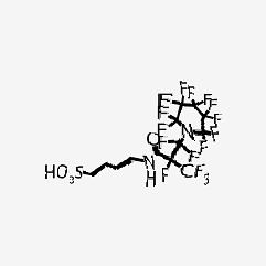 O=C(N/C=C/C=C/S(=O)(=O)O)C(F)(C(F)(F)F)C(F)(F)N1C(F)(F)C(F)(F)C(F)(F)C(F)(F)C1(F)F